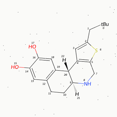 CC(C)(C)Cc1cc2c(s1)CN[C@H]1CCc3cc(O)c(O)cc3[C@H]21